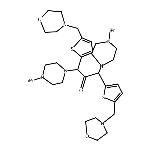 CC(C)N1CCN(C(C(=O)C(c2ccc(CN3CCOCC3)s2)N2CCN(C(C)C)CC2)c2ccc(CN3CCOCC3)s2)CC1